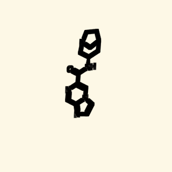 O=C(N[C@@H]1CC2CCN(C2)C1)c1cn2ccnc2cn1